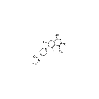 Cc1c(N2CCN(C(=O)OC(C)(C)C)CC2)c(F)cc2c(O)cc(=O)n(C3CC3)c12